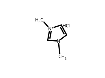 Cl.Cn1cc[n+](C)c1